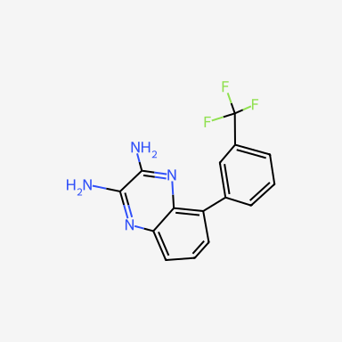 Nc1nc2cccc(-c3cccc(C(F)(F)F)c3)c2nc1N